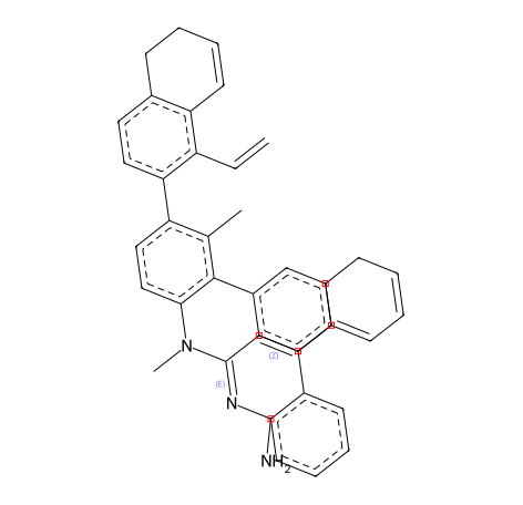 C=Cc1c(-c2ccc(N(C)C(/C=C(/C3=CC=CCC3)c3ccccc3)=N/CN)c(-c3ccccc3)c2C)ccc2c1C=CCC2